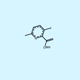 C=C(OC)c1nc(C)ccc1I